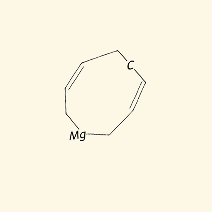 C1=C\[CH2][Mg][CH2]/C=C\CC/1